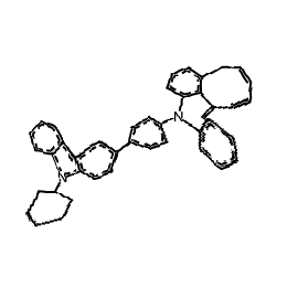 C=C1/C=C\C=C/Cc2cccc(N(c3ccccc3)c3ccc(-c4ccc5c(c4)c4ccccc4n5C4CCCCC4)cc3)c21